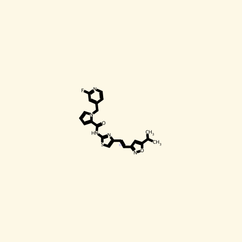 CC(C)c1cc(/C=C/c2csc(NC(=O)c3cccn3Cc3ccnc(F)c3)n2)no1